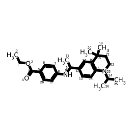 CCOC(=O)c1ccc(NC(C)c2ccc3c(c2)C(C)(C)CCN3C(C)C)cc1